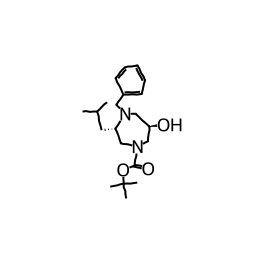 CC(C)C[C@H]1CN(C(=O)OC(C)(C)C)C[C@H](O)CN1Cc1ccccc1